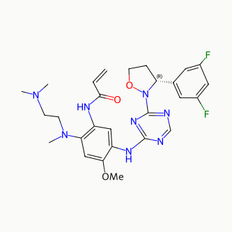 C=CC(=O)Nc1cc(Nc2ncnc(N3OCC[C@@H]3c3cc(F)cc(F)c3)n2)c(OC)cc1N(C)CCN(C)C